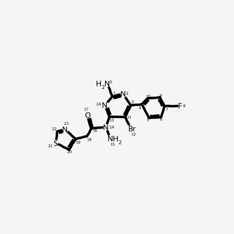 Nc1nc(-c2ccc(F)cc2)c(Br)c(N(N)C(=O)Cc2cscn2)n1